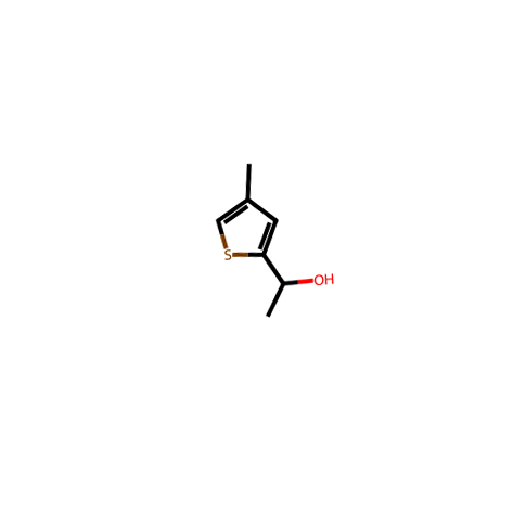 Cc1csc(C(C)O)c1